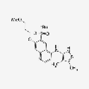 COCCCOc1cc2nccc(Nc3[nH]nc(C)c3C)c2cc1S(=O)(=O)C(C)(C)C